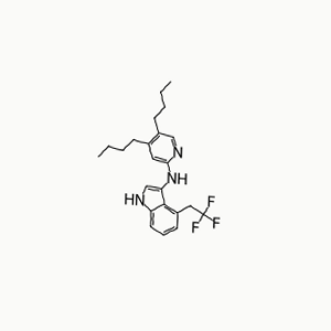 CCCCc1cnc(Nc2c[nH]c3cccc(CC(F)(F)F)c23)cc1CCCC